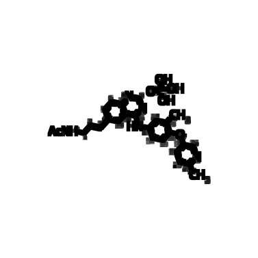 CC(=O)NCC=Cc1ccc2ncnc(Nc3ccc(Oc4ccc(C)nc4)c(C)c3)c2c1.O=P(O)(O)O